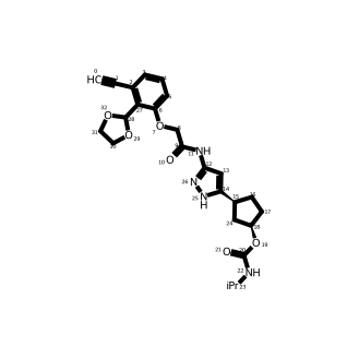 C#Cc1cccc(OCC(=O)Nc2cc([C@H]3CC[C@@H](OC(=O)NC(C)C)C3)[nH]n2)c1C1OCCO1